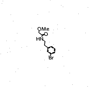 COCC(=O)NCCc1cccc(Br)c1